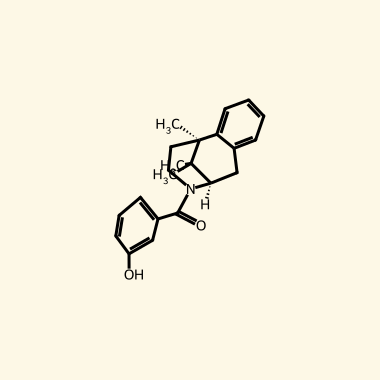 CC1(C)[C@H]2Cc3ccccc3[C@]1(C)CCN2C(=O)c1cccc(O)c1